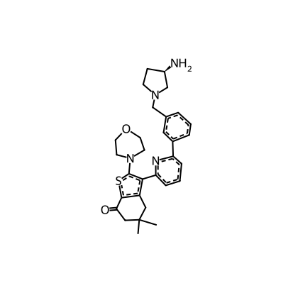 CC1(C)CC(=O)c2sc(N3CCOCC3)c(-c3cccc(-c4cccc(CN5CC[C@@H](N)C5)c4)n3)c2C1